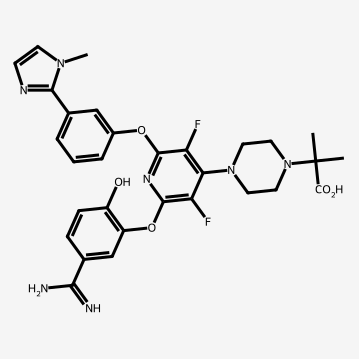 Cn1ccnc1-c1cccc(Oc2nc(Oc3cc(C(=N)N)ccc3O)c(F)c(N3CCN(C(C)(C)C(=O)O)CC3)c2F)c1